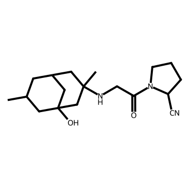 CC1CC2CC(O)(C1)CC(C)(NCC(=O)N1CCCC1C#N)C2